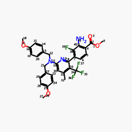 COC(=O)c1ccc(-c2nc(N(Cc3ccc(OC)cc3)Cc3ccc(OC)cc3)cc(C)c2C(F)(F)F)c(F)c1N